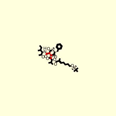 CCC(C)[C@H](NC(=O)CN(C)C(=O)[C@@H](Cc1ccccc1)N(C)C(=O)[C@H](C)NC(=O)[C@H](OC(=O)/C(C)=C/CCCCO[Si](C)(C)C(C)(C)C)C(C)C)C(C)=O